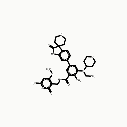 CCN(c1cc(-c2ccc3c(c2)NC(=O)C32CCNCC2)cc(C(=O)NCc2c(OC)cc(C)[nH]c2=O)c1C)C1CCOCC1